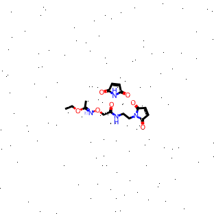 CCO/C(C)=N/OCC(=O)NCCN1C(=O)C=CC1=O.O=C1C=CC(=O)N1